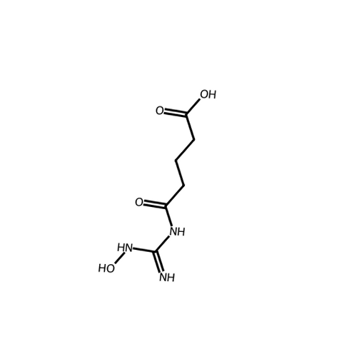 N=C(NO)NC(=O)CCCC(=O)O